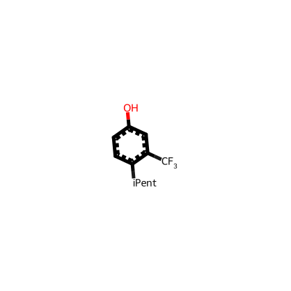 CCCC(C)c1ccc(O)cc1C(F)(F)F